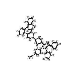 N#Cc1ccc(-n2c(-c3ccc(C4C=CC5=C(C4)C4=Nc6ccccc6C(C4)c4ccccc45)cc3)nc(-c3ccccc3)c2-c2ccccc2)cc1